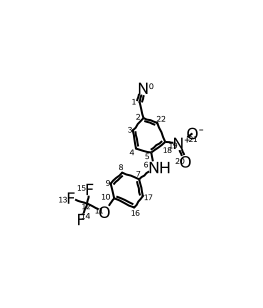 N#Cc1ccc(Nc2ccc(OC(F)(F)F)cc2)c([N+](=O)[O-])c1